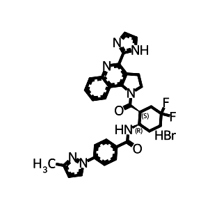 Br.Cc1ccn(-c2ccc(C(=O)N[C@@H]3CCC(F)(F)C[C@@H]3C(=O)N3CCc4c(-c5ncc[nH]5)nc5ccccc5c43)cc2)n1